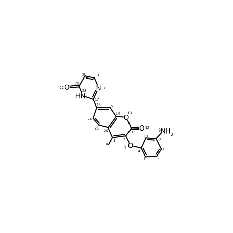 Cc1c(Oc2cccc(N)c2)c(=O)oc2cc(-c3nccc(=O)[nH]3)ccc12